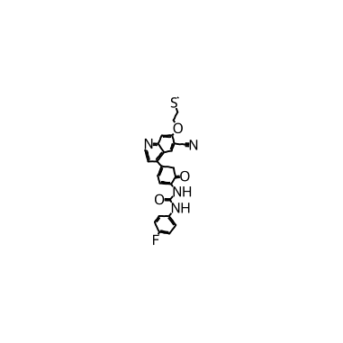 CSCCOc1cc2nccc(C3=CC=C(NC(=O)Nc4ccc(F)cc4)C(=O)C3)c2cc1C#N